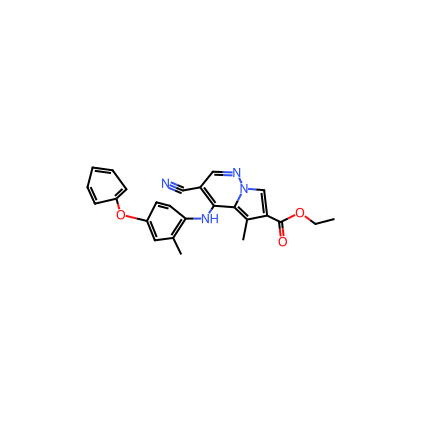 CCOC(=O)c1cn2ncc(C#N)c(Nc3ccc(Oc4ccccc4)cc3C)c2c1C